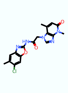 Cc1cc2nc(NC(=O)Cn3cnc4c3c(C)cc(=O)n4C)oc2cc1Cl